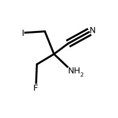 N#CC(N)(CF)CI